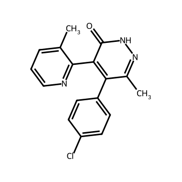 Cc1cccnc1-c1c(-c2ccc(Cl)cc2)c(C)n[nH]c1=O